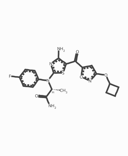 C[C@H](C(N)=O)N(c1ccc(F)cc1)c1nc(N)c(C(=O)c2cc(OC3CCC3)no2)s1